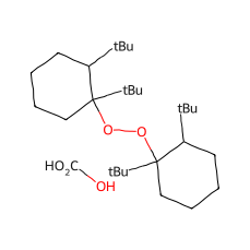 CC(C)(C)C1CCCCC1(OOC1(C(C)(C)C)CCCCC1C(C)(C)C)C(C)(C)C.O=C(O)O